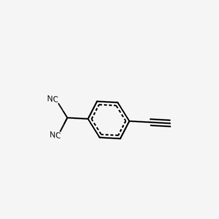 C#Cc1ccc(C(C#N)C#N)cc1